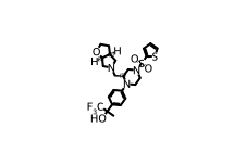 CC(O)(c1ccc(N2CCN(S(=O)(=O)c3cccs3)C[C@@H]2CN2C[C@@H]3CCO[C@@H]3C2)cc1)C(F)(F)F